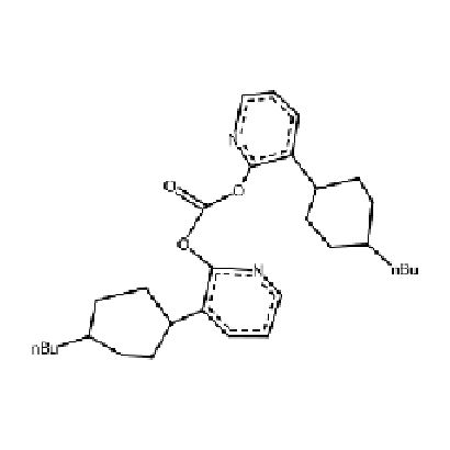 CCCCC1CCC(c2cccnc2OC(=O)Oc2ncccc2C2CCC(CCCC)CC2)CC1